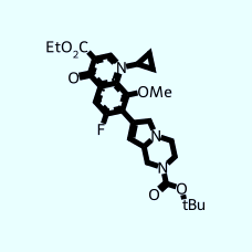 CCOC(=O)c1cn(C2CC2)c2c(OC)c(C3=CC4CN(C(=O)OC(C)(C)C)CCN4C3)c(F)cc2c1=O